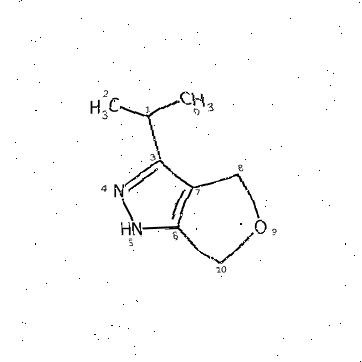 CC(C)c1n[nH]c2c1COC2